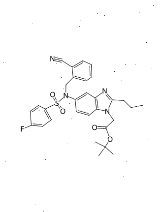 CCCc1nc2cc(N(Cc3ccccc3C#N)S(=O)(=O)c3ccc(F)cc3)ccc2n1CC(=O)OC(C)(C)C